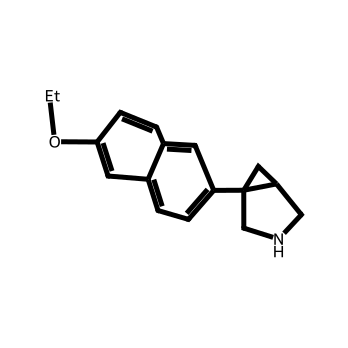 CCOc1ccc2cc(C34CNCC3C4)ccc2c1